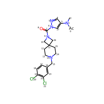 CC(=O)N(C)c1cnn(C(=O)N2CC3(CCN(Cc4ccc(Cl)c(Cl)c4)CC3)C2)c1